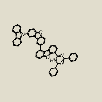 C1=CCC(C2N=C(c3ccccc3)N=C(c3cccc4c3oc3cccc(-c5ccc6oc7ccc(-n8c9ccccc9c9ccccc98)cc7c6c5)c34)N2)C=C1